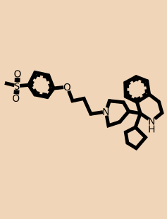 CS(=O)(=O)c1ccc(OCCCN2CCC(C3(C4CCCC4)NCCc4ccccc43)CC2)cc1